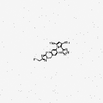 CCCCc1nc(CC(C)C)nn1Cc1ccc(-n2c(C(C)(C)C)cc(C(C)(C)C)c2-c2nnn[nH]2)cc1